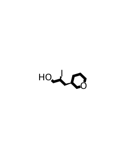 OC[C@@H](I)C[C@H]1CCCOC1